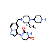 C[C@H]1CN(Cc2ccn3ncc(N4CCC(=O)NC4=O)c3c2)CCN1C1CCNCC1